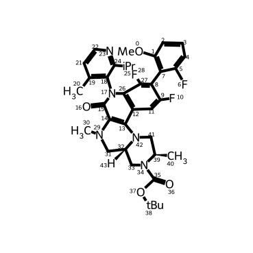 COc1cccc(F)c1-c1c(F)cc2c3c(c(=O)n(-c4c(C)ccnc4C(C)C)c2c1F)N(C)C[C@H]1CN(C(=O)OC(C)(C)C)[C@H](C)CN31